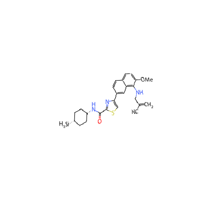 C=C(C#N)CNc1c(OC)ccc2ccc(-c3csc(C(=O)N[C@H]4CC[C@@H]([SiH3])CC4)n3)cc12